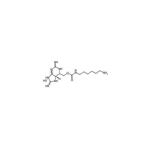 N=C1N[C@H]2C(COC(=O)NCCCCCCN)NC(=N)N3CC[C@H](O)C23N1